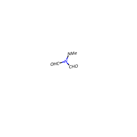 CNN(C=O)C=O